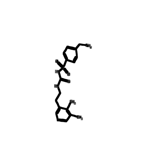 Cc1cccc(CCNC(=O)NS(=O)(=O)c2ccc(CN)cc2)c1C